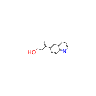 C=C(CCO)c1ccc2ncccc2c1